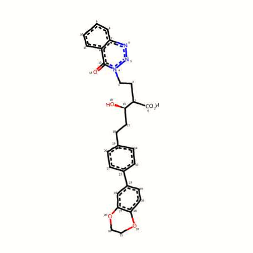 O=C(O)C(CCn1nnc2ccccc2c1=O)[C@H](O)CCc1ccc(-c2ccc3c(c2)OCCO3)cc1